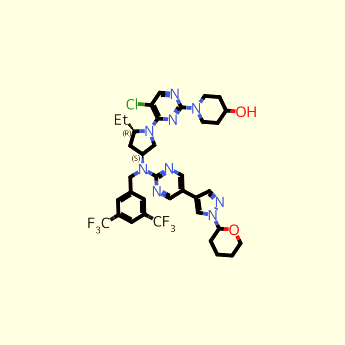 CC[C@@H]1C[C@H](N(Cc2cc(C(F)(F)F)cc(C(F)(F)F)c2)c2ncc(-c3cnn(C4CCCCO4)c3)cn2)CN1c1nc(N2CCC(O)CC2)ncc1Cl